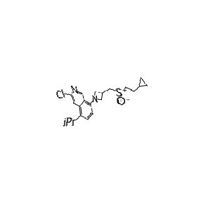 CC(C)c1ccc(N2CC(C[S@@+]([O-])CCC3CC3)C2)c2cnc(Cl)cc12